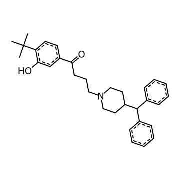 CC(C)(C)c1ccc(C(=O)CCCN2CCC(C(c3ccccc3)c3ccccc3)CC2)cc1O